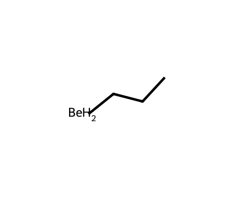 CCCC.[BeH2]